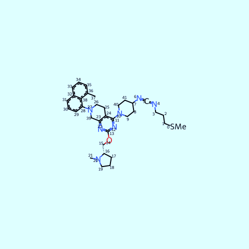 CSCCCN=C=NC1CCN(c2nc(OC[C@@H]3CCCN3C)nc3c2CCN(c2cccc4cccc(C)c24)C3)CC1